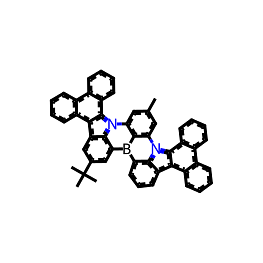 Cc1cc2c3c(c1)-n1c4c(cc(C(C)(C)C)cc4c4c5ccccc5c5ccccc5c41)B3c1cccc3c4c5ccccc5c5ccccc5c4n-2c13